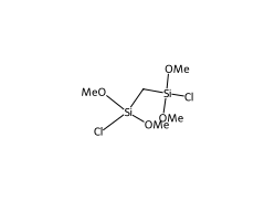 CO[Si](Cl)(C[Si](Cl)(OC)OC)OC